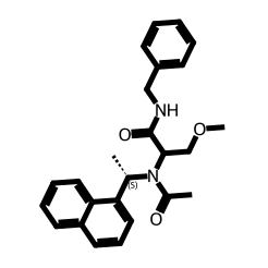 COCC(C(=O)NCc1ccccc1)N(C(C)=O)[C@@H](C)c1cccc2ccccc12